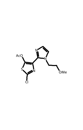 COCCn1ccnc1-c1nc(Cl)sc1OC(C)=O